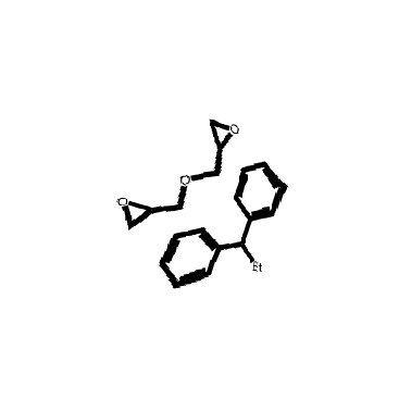 C(OCC1CO1)C1CO1.CCC(c1ccccc1)c1ccccc1